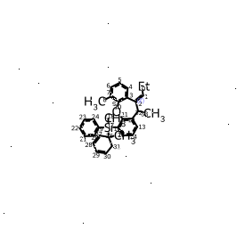 CC/C=C1\c2cccc(C)c2Oc2c(cccc2[Si](C)(c2ccccc2)C2(C)C=CC=CC2)C1C